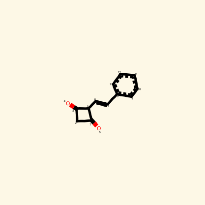 O=C1CC(=O)C1C=Cc1ccccc1